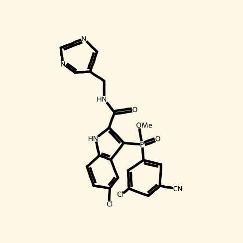 COP(=O)(c1cc(Cl)cc(C#N)c1)c1c(C(=O)NCc2cncnc2)[nH]c2ccc(Cl)cc12